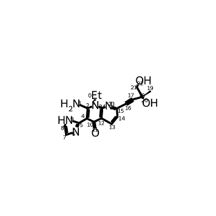 CCn1c(N)c(-c2ncc[nH]2)c(=O)c2ccc(C#C[C@@](C)(O)CO)nc21